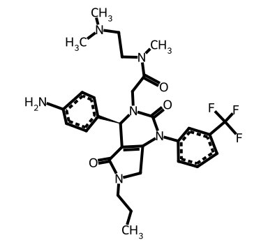 CCCN1CC2=C(C1=O)[C@@H](c1ccc(N)cc1)N(CC(=O)N(C)CCN(C)C)C(=O)N2c1cccc(C(F)(F)F)c1